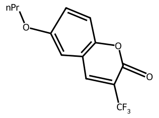 CCCOc1ccc2oc(=O)c(C(F)(F)F)cc2c1